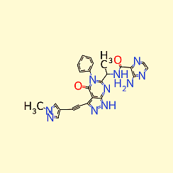 CC(NC(=O)c1nccnc1N)c1nc2[nH]nc(C#Cc3cnn(C)c3)c2c(=O)n1-c1ccccc1